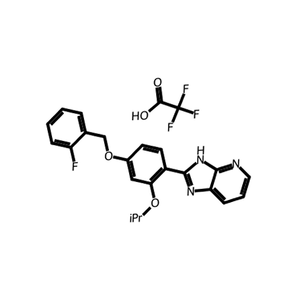 CC(C)Oc1cc(OCc2ccccc2F)ccc1-c1nc2cccnc2[nH]1.O=C(O)C(F)(F)F